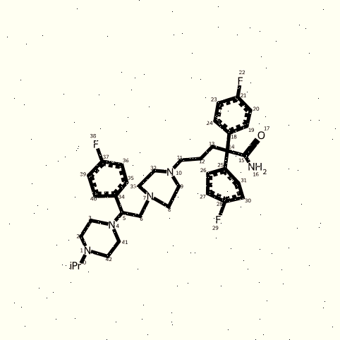 CC(C)N1CCN(C(CN2CCN(CCCC(C(N)=O)(c3ccc(F)cc3)c3ccc(F)cc3)CC2)c2ccc(F)cc2)CC1